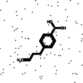 C=CCCc1ccc(B(O)O)cc1